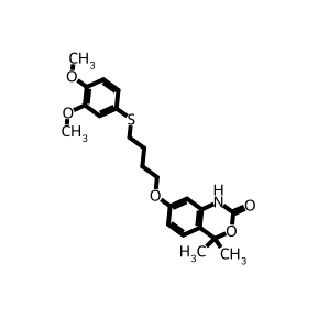 COc1ccc(SCCCCOc2ccc3c(c2)NC(=O)OC3(C)C)cc1OC